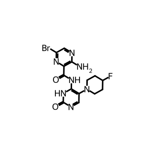 Nc1ncc(Br)nc1C(=O)Nc1[nH]c(=O)ncc1N1CCC(F)CC1